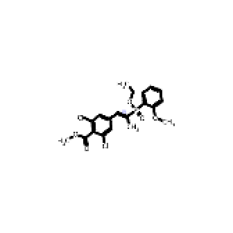 CCOP(=O)(/C(C)=C/c1cc(Cl)c(C(=O)OC)c(Cl)c1)c1ccccc1OC